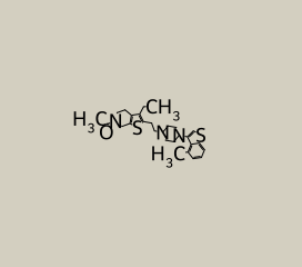 CCc1c(CCN2CCN(c3csc4cccc(C)c34)CC2)sc2c1CCN(C(C)=O)C2